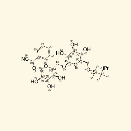 CC(C)C(C)(C)[Si](C)(C)OC[C@H]1O[C@@H](OC[C@H]2O[C@@H](OC(C#N)c3ccccc3)[C@H](O)[C@@H](O)[C@@H]2O)[C@H](O)[C@@H](O)[C@@H]1O